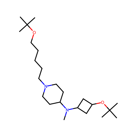 CN(C1CCN(CCCCCOC(C)(C)C)CC1)C1CC(OC(C)(C)C)C1